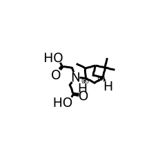 CC1C2C[C@@H](C[C@H]1N(CC(=O)O)CC(=O)O)C2(C)C